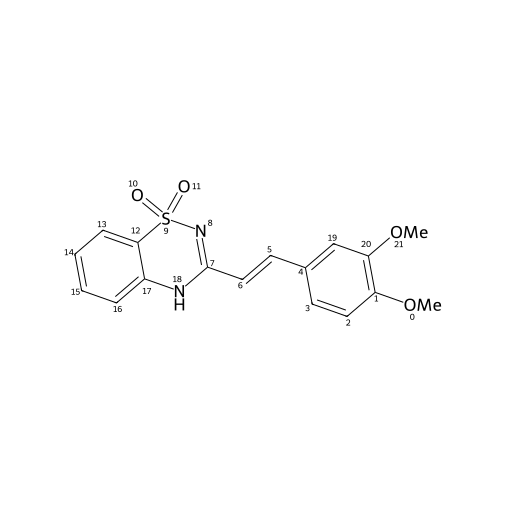 COc1ccc(/C=C/C2=NS(=O)(=O)c3ccccc3N2)cc1OC